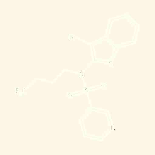 O=S(=O)(c1cccnc1)N(CCCC(F)(F)F)c1sc2ccccc2c1Br